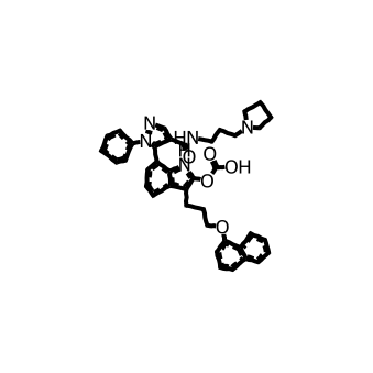 O=C(O)Oc1[nH]c2c(-c3c(C(=O)NCCCN4CCCC4)cnn3-c3ccccc3)cccc2c1CCCOc1cccc2ccccc12